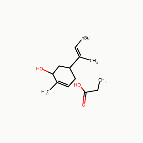 CCC(=O)O.CCCCC=C(C)C1CC=C(C)C(O)C1